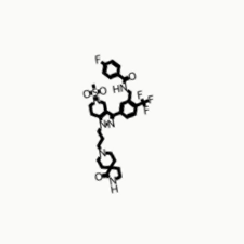 CS(=O)(=O)N1CCc2c(c(-c3ccc(C(F)(F)F)c(CNC(=O)c4ccc(F)cc4)c3)nn2CCCN2CCC3(CCNC3=O)CC2)C1